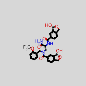 NC(=O)[C@H](CN(Cc1ccccc1OC(F)(F)F)C(=O)c1ccc2c(c1)B(O)OC2)NC(=O)c1ccc2c(c1)B(O)OC2